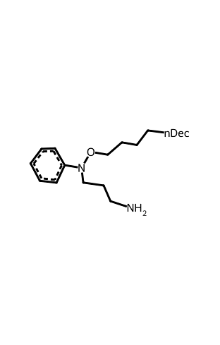 CCCCCCCCCCCCCCON(CCCN)c1ccccc1